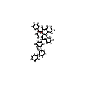 c1ccc(-c2cccc3c2oc2ccc(-c4c5ccccc5c(-c5ccccc5-c5ccc6ccccc6c5)c5ccccc45)cc23)cc1